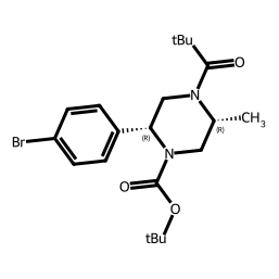 C[C@@H]1CN(C(=O)OC(C)(C)C)[C@H](c2ccc(Br)cc2)CN1C(=O)C(C)(C)C